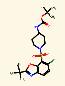 CC(C)(C)OC(=O)NC1CCN(S(=O)(=O)c2c(Cl)ccc3nc(C(C)(C)C)oc23)CC1